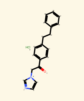 Cl.O=C(Cn1ccnc1)c1ccc(CCc2ccccc2)cc1